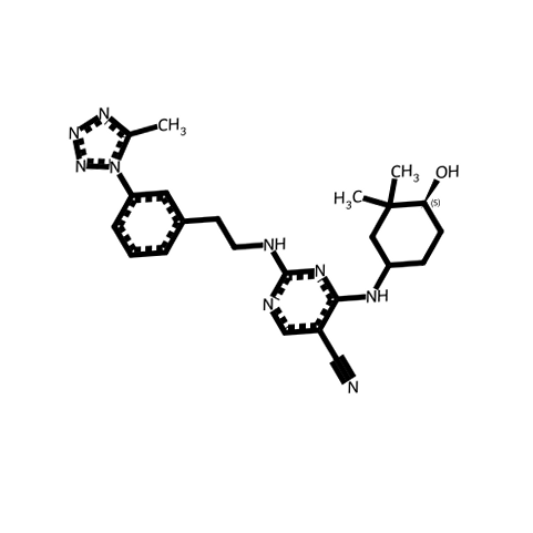 Cc1nnnn1-c1cccc(CCNc2ncc(C#N)c(NC3CC[C@H](O)C(C)(C)C3)n2)c1